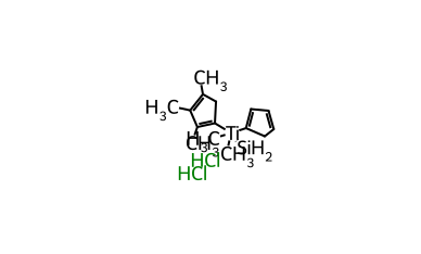 CC1=C(C)C(C)=[C]([Ti]([CH3])([CH3])(=[SiH2])[C]2=CC=CC2)C1.Cl.Cl